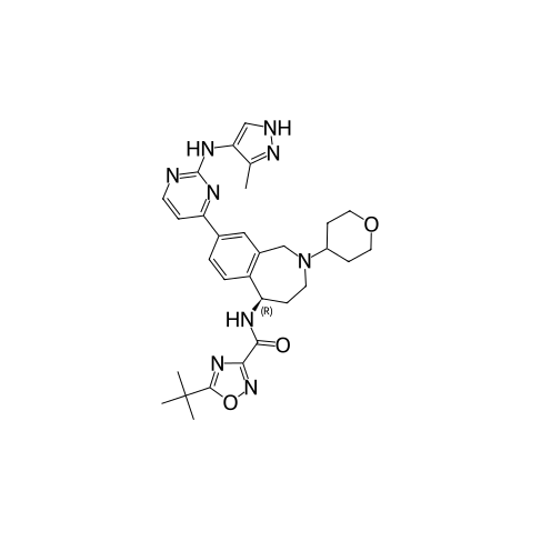 Cc1n[nH]cc1Nc1nccc(-c2ccc3c(c2)CN(C2CCOCC2)CC[C@H]3NC(=O)c2noc(C(C)(C)C)n2)n1